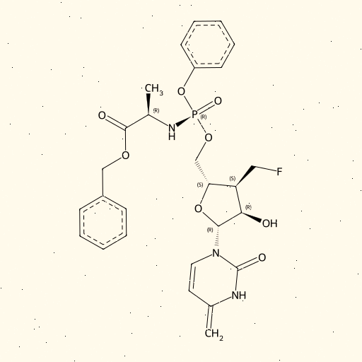 C=C1C=CN([C@@H]2O[C@H](CO[P@](=O)(N[C@H](C)C(=O)OCc3ccccc3)Oc3ccccc3)[C@@H](CF)[C@H]2O)C(=O)N1